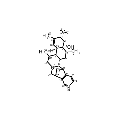 CC(=O)O[C@@H]1[C][C@@]2(O)[C@H](C)CC[C@@H]([C@H](C)CN3CC4CC(C3)c3cnccc34)[C@H]2C=C1C